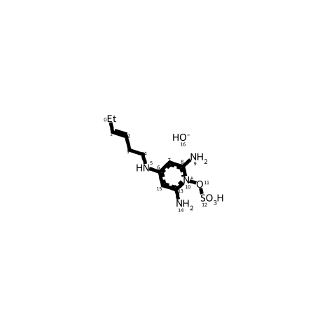 CCC=CCCNc1cc(N)[n+](OS(=O)(=O)O)c(N)c1.[OH-]